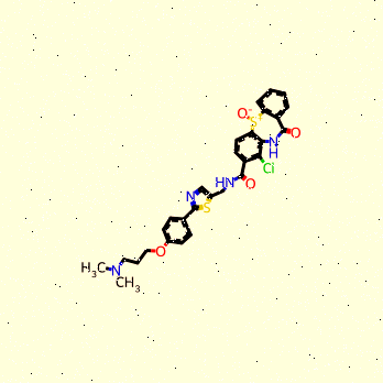 CN(C)CCCOc1ccc(-c2ncc(CNC(=O)c3ccc4c(c3Cl)NC(=O)c3ccccc3[S+]4[O-])s2)cc1